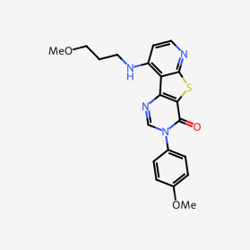 COCCCNc1ccnc2sc3c(=O)n(-c4ccc(OC)cc4)cnc3c12